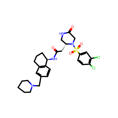 O=C1CN(S(=O)(=O)c2ccc(Cl)c(Cl)c2)[C@H](CC(=O)N[C@@H]2CCCc3cc(CN4CCCCC4)ccc32)CN1